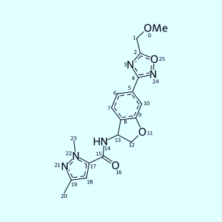 COCc1nc(-c2ccc3c(c2)OCC3NC(=O)c2cc(C)nn2C)no1